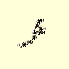 CN(CCCC(=O)NCc1ccc(S(N)(=O)=O)cc1)S(=O)(=O)c1ccc2c(c1)C(C)(C)C(/C=C/C=CC=C1N(CCCS(=O)(=O)O)c3ccc(S(=O)(=O)O)cc3C1(C)C)=[N+]2CCCS(=O)(=O)O